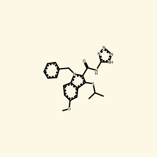 COc1ccc2c(c1)c(SC(C)C)c(C(=O)Nc1nnn[nH]1)n2Cc1ccccc1